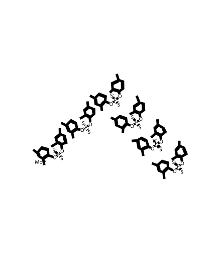 Cc1ccc(OP(=S)([S-])Oc2ccc(C)cc2C)c(C)c1.Cc1ccc(OP(=S)([S-])Oc2ccc(C)cc2C)c(C)c1.Cc1ccc(OP(=S)([S-])Oc2ccc(C)cc2C)c(C)c1.Cc1ccc(OP(=S)([S-])Oc2ccc(C)cc2C)c(C)c1.Cc1ccc(OP(=S)([S-])Oc2ccc(C)cc2C)c(C)c1.Cc1ccc(OP(=S)([S-])Oc2ccc(C)cc2C)c(C)c1.[Mo+6]